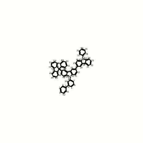 c1ccc(-c2cccc(-n3c4ccc(-c5ccc6c(c5)c5ccccc5n6-c5ccccc5)cc4c4cc(C5(c6ccccc6)c6ccccc6-c6ccccc65)ccc43)c2)cc1